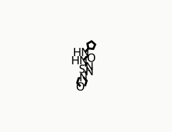 O=C(Nc1nnc(N2CCOCC2)s1)NC1CCCC1